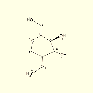 COC1COC(CO)[C@@H](O)C1O